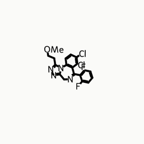 COCCc1nnc2n1-c1ccc(Cl)c(Cl)c1C(c1c(F)cccc1F)=NC2